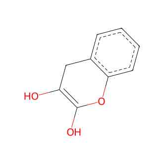 OC1=C(O)Oc2ccccc2C1